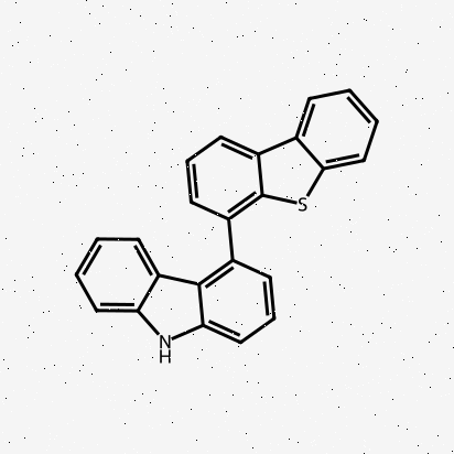 c1ccc2c(c1)[nH]c1cccc(-c3cccc4c3sc3ccccc34)c12